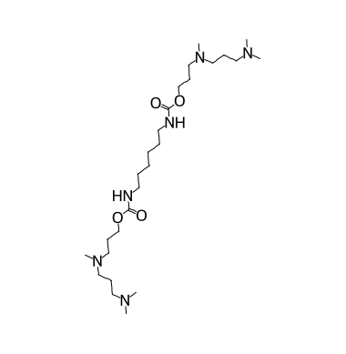 CN(C)CCCN(C)CCCOC(=O)NCCCCCCNC(=O)OCCCN(C)CCCN(C)C